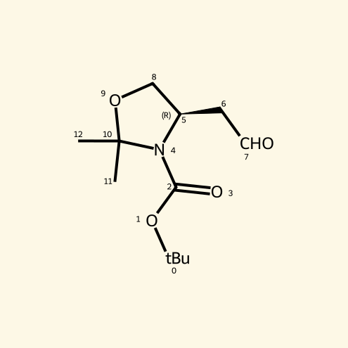 CC(C)(C)OC(=O)N1[C@H](CC=O)COC1(C)C